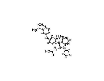 CC(C)c1cccc(Oc2ccc(-c3c(CCC(=O)O)c(C4CCCC4)n4ncnc(N)c34)cc2)c1